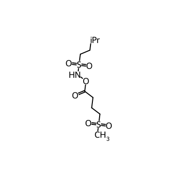 CC(C)CCS(=O)(=O)NOC(=O)CCCS(C)(=O)=O